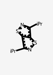 CC(C)c1nsc2c(C(C)C)nsc12